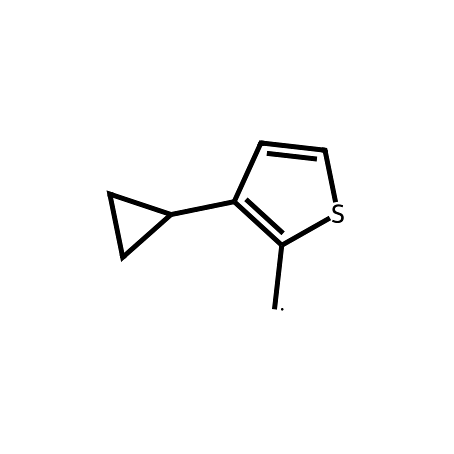 [CH2]c1sccc1C1CC1